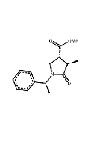 COC(=O)[C@H]1CN([C@@H](C)c2ccccc2)C(=O)[C@@H]1C